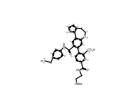 CNCCNC(=O)c1ccc(-c2cc3c(cc2C(=O)Nc2ccc(CN)cc2)-c2sccc2CCO3)c(C(=O)O)n1